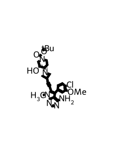 COc1cc(-c2c(C#CC3CN([C@H]4CCN(C(=O)OC(C)(C)C)C[C@@H]4O)C3)n(C)c3ncnc(N)c23)ccc1Cl